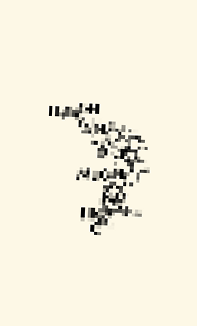 COc1nc(-c2cccc(-c3cccc(-c4ccc5nc(CNCC(C)O)cc(=O)n5c4)c3Cl)c2Cl)ccc1CN(C[C@@H]1CCC(=O)N1)C(=O)OC(C)(C)C